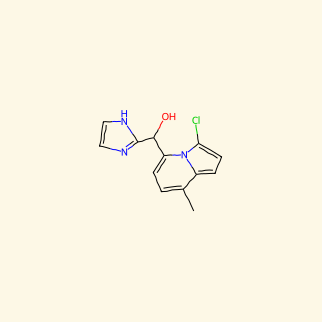 Cc1ccc(C(O)c2ncc[nH]2)n2c(Cl)ccc12